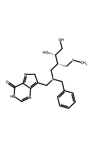 CSC[C@H](CN(CC1=c2nc[nH]c(=O)c2=NC1)Cc1ccccc1)[C@H](O)CO